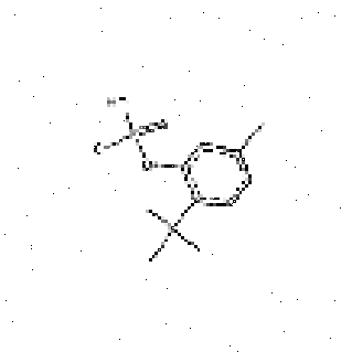 Cc1ccc(C(C)(C)C)c(OP(O)(=S)Cl)c1